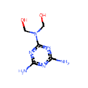 Nc1nc(N)nc(N(CO)CO)n1